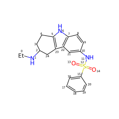 CCNC1CCc2[nH]c3ccc(NS(=O)(=O)c4ccccc4)cc3c2C1